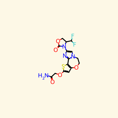 NC(=O)COc1cc2c(s1)-c1nc(N3C(=O)OCC3C(F)F)cn1CCO2